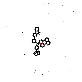 CC1(C)c2ccccc2-c2ccc(-c3cccc(N(c4ccc(-c5cccc6cccc(-c7ccccc7)c56)cc4)c4ccc(C56CC7CC(CC(C7)C5)C6)cc4)c3)cc21